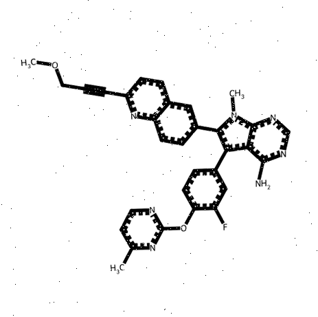 COCC#Cc1ccc2cc(-c3c(-c4ccc(Oc5nccc(C)n5)c(F)c4)c4c(N)ncnc4n3C)ccc2n1